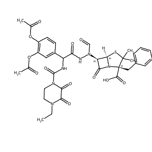 CCN1CCN(C(=O)NC(C(=O)NN(C=O)[C@@H]2C(=O)N3[C@@H]2SC(C)(C)[C@]3(Cc2ccccc2)C(=O)O)c2ccc(OC(C)=O)c(OC(C)=O)c2)C(=O)C1=O